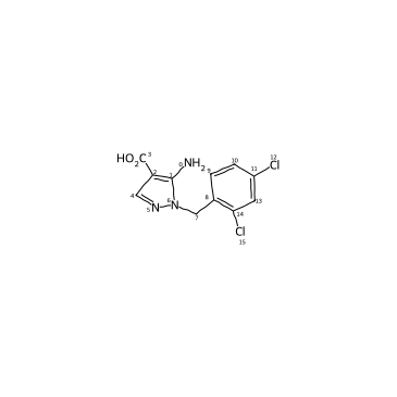 Nc1c(C(=O)O)cnn1Cc1ccc(Cl)cc1Cl